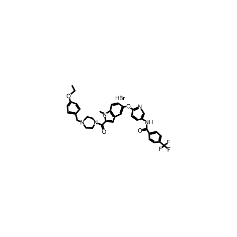 Br.CCOc1ccc(CN2CCN(C(=O)c3cc4cc(Oc5ccc(NC(=O)c6ccc(C(F)(F)F)cc6)cn5)ccc4n3C)CC2)cc1